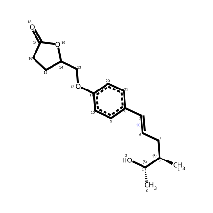 C[C@H](O)[C@H](C)C/C=C/c1ccc(OCC2CCC(=O)O2)cc1